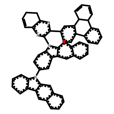 C1=CC2c3ccccc3-c3ccc(-c4nc5c(nc4-n4c6ccc(-n7c8ccccc8c8cc9ccccc9cc87)cc6c6cc7ccccc7cc64)C=CCC5)cc3C2C=C1